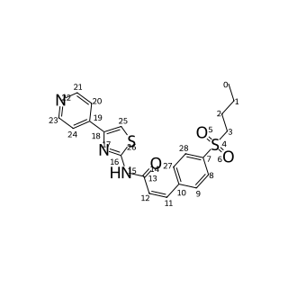 CCCCS(=O)(=O)c1ccc(/C=C\C(=O)Nc2nc(-c3ccncc3)cs2)cc1